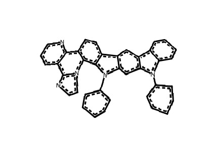 c1ccc(-n2c3ccccc3c3cc4c5ccc6c7ncccc7c7nccn7c6c5n(-c5ccccc5)c4cc32)cc1